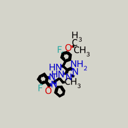 CCC(Nc1ncnc(N)c1C(=N)c1ccc(OC(C)C)c(F)c1)c1nc2cccc(F)c2c(=O)n1C1=CCCC=C1